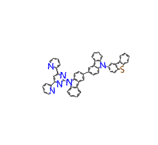 c1ccc(-c2cc(-c3ccccn3)nc(-n3c4ccccc4c4cc(-c5ccc6c(c5)c5ccccc5n6-c5ccc6sc7ccccc7c6c5)ccc43)n2)nc1